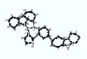 c1ccc2c(c1)oc1ccc(-c3ccc4c(c3)-c3nccn3B3N4c4cccc5c6ccccc6n3c45)cc12